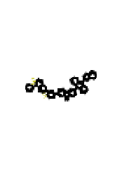 CC1(C)c2ccc(-c3c4ccccc4c(-c4ccc5ccccc5c4)c4ccccc34)cc2-c2ccc(-c3ccc4sc5cc6c(ccc7sc8ccccc8c76)cc5c4c3)cc21